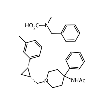 CC(=O)NC1(c2ccccc2)CCN(C[C@@H]2C[C@@H]2c2cccc(C)c2)CC1.CN(Cc1ccccc1)C(=O)O